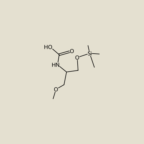 COCC(CO[Si](C)(C)C)NC(=O)O